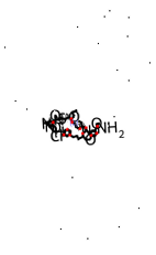 CCOC(/C=C/CC[C@@H](CC)CN1CC(CCCc2cccc(Cl)c2)COc2ccc(C(N)=O)cc21)[C@H](C)CSNC(=O)c1cn(C)nc1OC